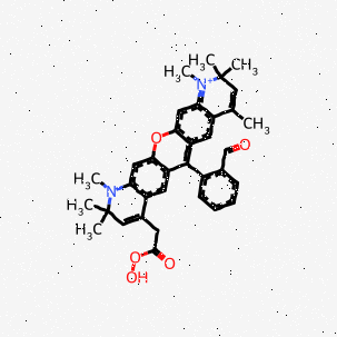 CC1=CC(C)(C)[N+](C)=c2cc3c(cc21)=C(c1ccccc1C=O)c1cc2c(cc1O3)N(C)C(C)(C)C=C2CC(=O)OO